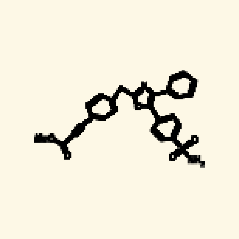 COC(=O)C#Cc1ccc(Cc2nc(-c3ccccc3)c(-c3ccc(S(N)(=O)=O)cc3)o2)cc1